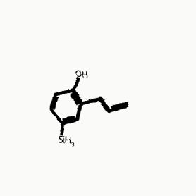 C=CCc1cc([SiH3])ccc1O